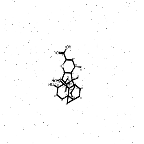 CC1[C@@H](O)C2OC(C(=O)O)C[C@@H](C)C2C1(C)CCC12CCC[C@H]3C(C)(C)C(O)CCC31C2